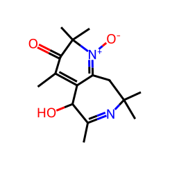 CC1=NC(C)(C)CC2=[N+]([O-])C(C)(C)C(=O)C(C)=C2C1O